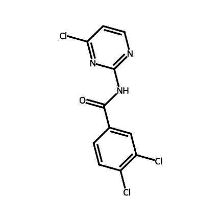 O=C(Nc1nccc(Cl)n1)c1ccc(Cl)c(Cl)c1